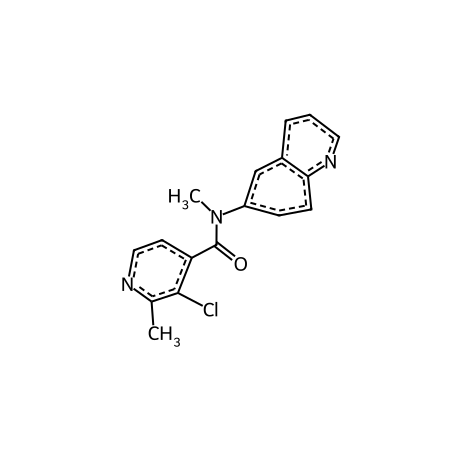 Cc1nccc(C(=O)N(C)c2ccc3ncccc3c2)c1Cl